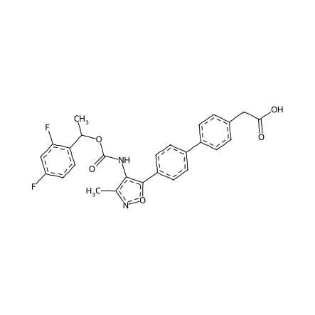 Cc1noc(-c2ccc(-c3ccc(CC(=O)O)cc3)cc2)c1NC(=O)OC(C)c1ccc(F)cc1F